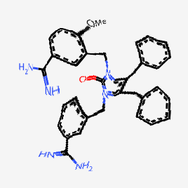 COc1ccc(C(=N)N)cc1Cn1c(-c2ccccc2)c(-c2ccccc2)n(Cc2cccc(C(=N)N)c2)c1=O